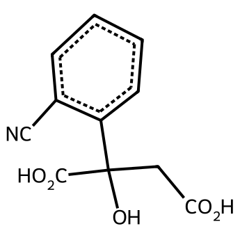 N#Cc1ccccc1C(O)(CC(=O)O)C(=O)O